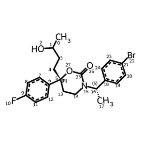 CC(O)CC[C@]1(c2ccc(F)cc2)CCN([C@@H](C)c2ccc(Br)cc2)C(=O)O1